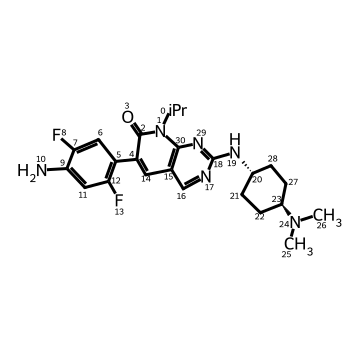 CC(C)n1c(=O)c(-c2cc(F)c(N)cc2F)cc2cnc(N[C@H]3CC[C@H](N(C)C)CC3)nc21